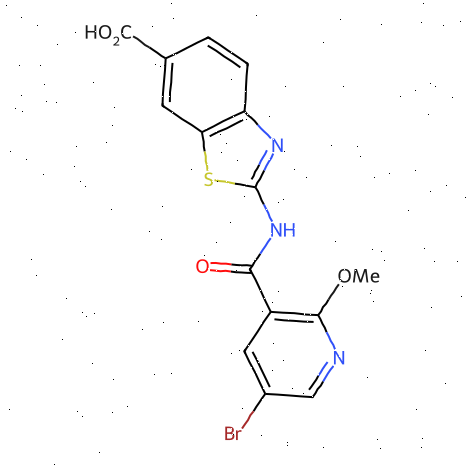 COc1ncc(Br)cc1C(=O)Nc1nc2ccc(C(=O)O)cc2s1